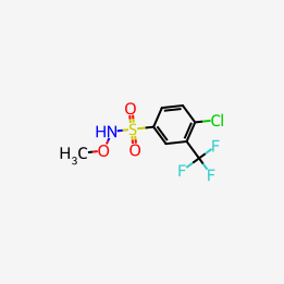 CONS(=O)(=O)c1ccc(Cl)c(C(F)(F)F)c1